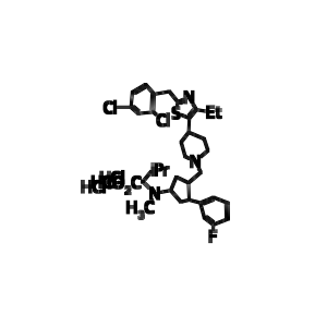 CCc1nc(Cc2ccc(Cl)cc2Cl)sc1C1CCN(CC2CC(N(C)[C@@H](C(=O)O)C(C)C)CC2c2cccc(F)c2)CC1.Cl.Cl.Cl